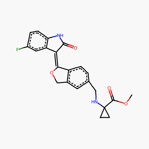 COC(=O)C1(NCc2ccc3c(c2)CO/C3=C2/C(=O)Nc3ccc(F)cc32)CC1